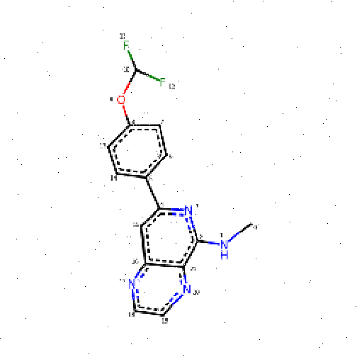 CNc1nc(-c2ccc(OC(F)F)cc2)cc2nccnc12